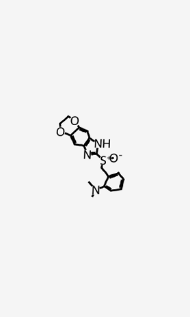 CN(C)c1ccccc1C[S+]([O-])c1nc2cc3c(cc2[nH]1)OCCO3